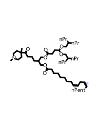 CCCCC/C=C\C/C=C\CCCCCCCC(=O)OCC(CCCC(=O)C1(C)CCN(C)CC1)COC(=O)CCC(OCC(CCC)CCC)OCC(CCC)CCC